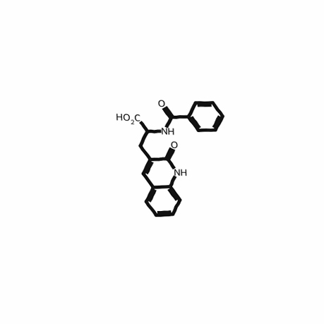 O=C(NC(Cc1cc2ccccc2[nH]c1=O)C(=O)O)c1ccccc1